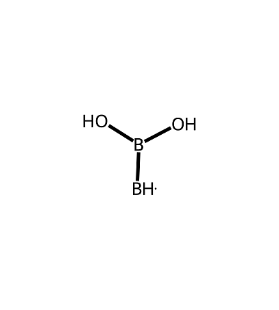 [BH]B(O)O